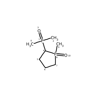 CP(C)(=O)C1CCCP1(C)=O